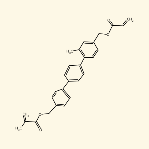 C=CC(=O)OCc1ccc(-c2ccc(-c3ccc(COC(=O)C(=C)C)cc3)cc2)c(C)c1